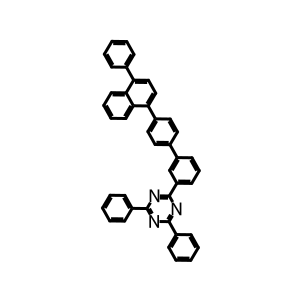 c1ccc(-c2nc(-c3ccccc3)nc(-c3cccc(-c4ccc(-c5ccc(-c6ccccc6)c6ccccc56)cc4)c3)n2)cc1